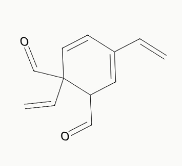 C=CC1=CC(C=O)C(C=C)(C=O)C=C1